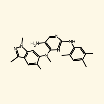 Cc1cc(C)c(Nc2ncc(N)c(N(C)c3cc4c(cc3C)c(C)nn4C)n2)cc1C